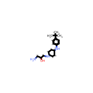 CC(C)(C)c1ccc(NC2CCC(NCC(O)CN)CC2)cc1